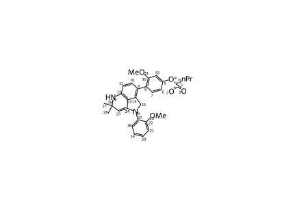 CCCS(=O)(=O)Oc1ccc(-c2ccc3c4c2CN(c2ccccc2OC)C4=CC(C)(C)N3)c(OC)c1